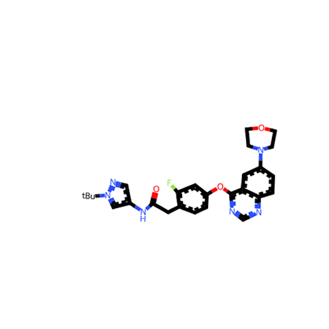 CC(C)(C)n1cc(NC(=O)Cc2ccc(Oc3ncnc4ccc(N5CCOCC5)cc34)cc2F)cn1